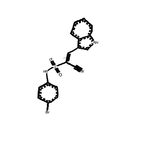 N#C/C(=C\c1c[nH]c2ccccc12)S(=O)(=O)Nc1ccc(Br)cc1